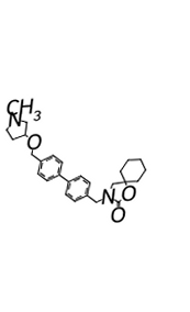 CN1CCC(OCc2ccc(-c3ccc(CN4CC5(CCCCC5)OC4=O)cc3)cc2)C1